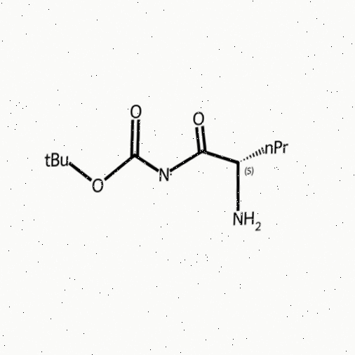 CCC[C@H](N)C(=O)[N]C(=O)OC(C)(C)C